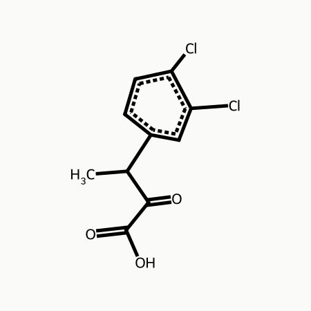 CC(C(=O)C(=O)O)c1ccc(Cl)c(Cl)c1